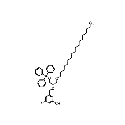 N#Cc1cc(F)cc(CO[C@H](COCCCCCCCCCCCCCCCCCC(F)(F)F)COC(c2ccccc2)(c2ccccc2)c2ccccc2)c1